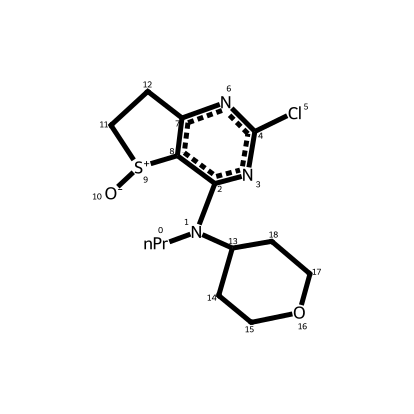 CCCN(c1nc(Cl)nc2c1[S+]([O-])CC2)C1CCOCC1